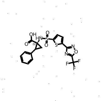 O=C(O)[C@]1(NS(=O)(=O)c2ccc(-c3noc(C(F)(F)F)n3)s2)CC1c1ccccc1